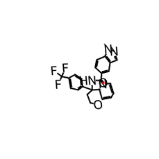 Cn1ncc2cc(C(=O)NC3(c4ccc(C(F)(F)F)cc4)CCOc4cccnc43)ccc21